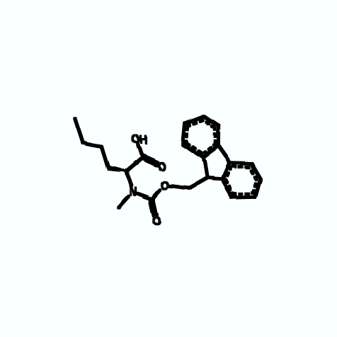 CCCC[C@@H](C(=O)O)N(C)C(=O)OCC1c2ccccc2-c2ccccc21